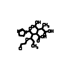 CCC(OCCCl)C(C(=O)N1C=NCC1)C(C(=O)O)C(C(=O)O)C(C)C(=O)O